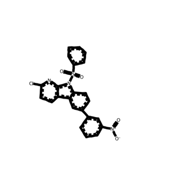 O=[N+]([O-])c1cccc(-c2ccc3c(c2)c2ccc(Cl)nc2n3S(=O)(=O)c2ccccc2)c1